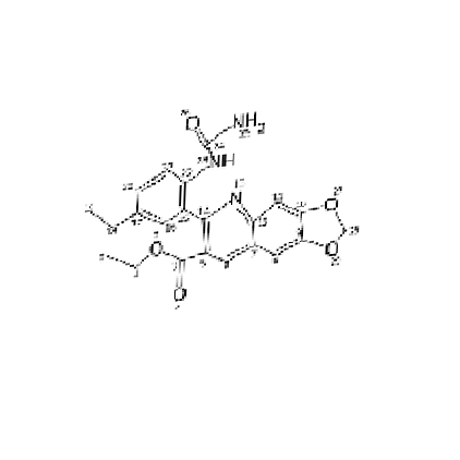 CCOC(=O)c1cc2cc3c(cc2nc1-c1cc(CC)ccc1NC(N)=O)OCO3